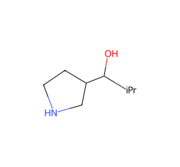 CC(C)C(O)C1CCNC1